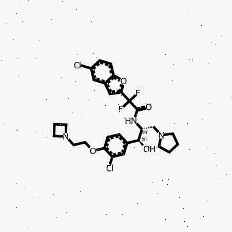 O=C(N[C@H](CN1CCCC1)[C@@H](O)c1ccc(OCCN2CCC2)c(Cl)c1)C(F)(F)c1cc2cc(Cl)ccc2o1